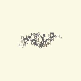 C#C[C@@]12COP(=O)(O)OC3[C@@H](O)[C@@H](COP(=O)(O)O[C@@H]1C(O)[C@H](n1cnc4c(N)ccnc41)O2)O[C@H]3n1cnc2c(=O)[nH]c(N)nc21